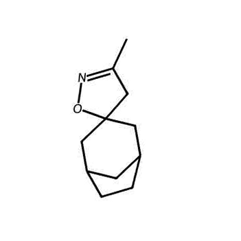 CC1=NOC2(C1)CC1CCC(C1)C2